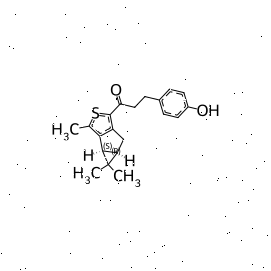 Cc1sc(C(=O)CCc2ccc(O)cc2)c2c1[C@H]1[C@@H](C2)C1(C)C